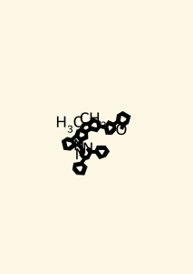 CC1(C)c2ccc(-c3ccc4oc5ccccc5c4c3)cc2-c2cc3c(cc21)c1ccccc1n3-c1nc(-c2ccccc2)cc(-c2ccccc2)n1